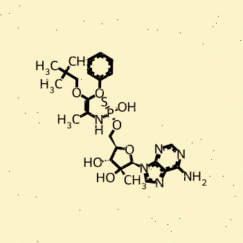 CC(N[P@@](O)(=S)OC[C@H]1O[C@@H](n2cnc3c(N)ncnc32)[C@](C)(O)[C@@H]1O)=C(OCC(C)(C)C)Oc1ccccc1